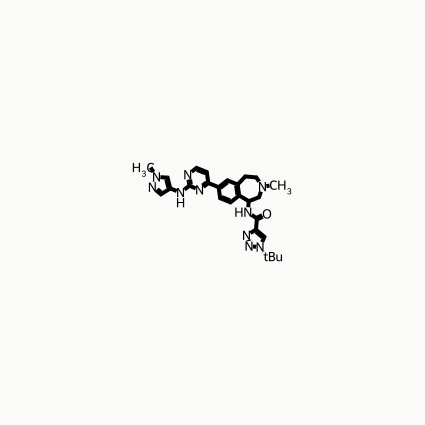 CN1CCc2cc(-c3ccnc(Nc4cnn(C)c4)n3)ccc2C(NC(=O)c2cn(C(C)(C)C)nn2)C1